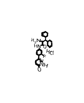 Cl.NC(C(=O)Nc1ccc(-c2ccc(=O)[nH]n2)c(F)c1)C(c1ccccc1)c1ccccc1